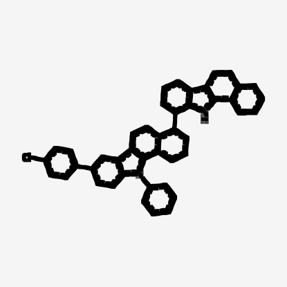 Clc1ccc(-c2ccc3c(c2)c2ccc4c(-c5cccc6c5[nH]c5c7ccccc7ccc65)cccc4c2n3-c2ccccc2)cc1